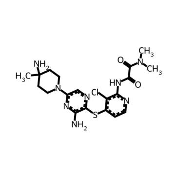 CN(C)C(=O)C(=O)Nc1nccc(Sc2ncc(N3CCC(C)(N)CC3)nc2N)c1Cl